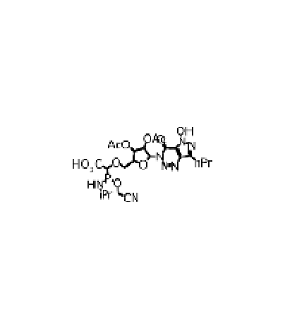 CCCc1nn(O)c2c(=O)n(C3OC(COC(C(=O)O)P(NC(C)C)OCC#N)C(OC(C)=O)C3OC(C)=O)nnc12